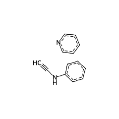 C#CNc1ccccc1.c1ccncc1